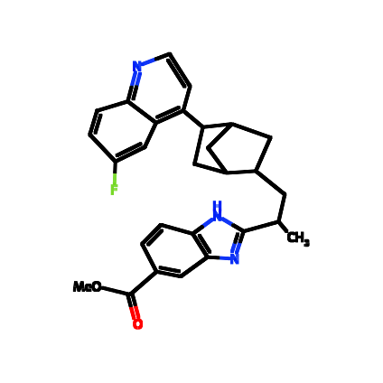 COC(=O)c1ccc2[nH]c(C(C)CC3CC4CC3CC4c3ccnc4ccc(F)cc34)nc2c1